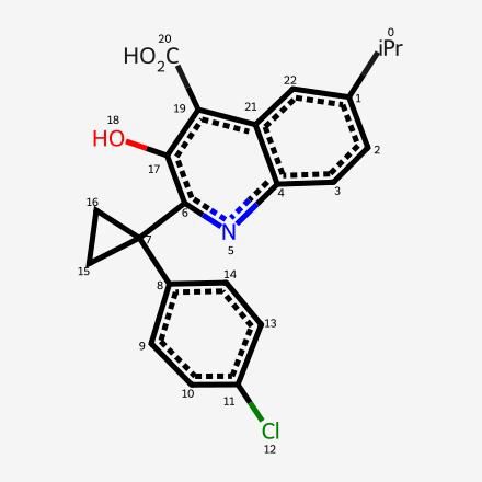 CC(C)c1ccc2nc(C3(c4ccc(Cl)cc4)CC3)c(O)c(C(=O)O)c2c1